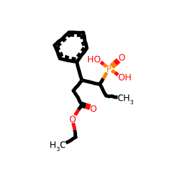 CCOC(=O)CC(c1ccccc1)C(CC)P(=O)(O)O